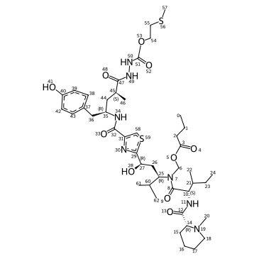 CCCC(=O)OCN(C(=O)[C@@H](NC(=O)[C@H]1CCCCN1C)C(C)CC)[C@H](C[C@@H](O)c1nc(C(=O)N[C@@H](Cc2ccc(O)cc2)C[C@H](C)C(=O)NNC(=O)OCCSC)cs1)C(C)C